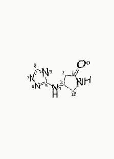 O=C1CC(NC2=NN=C[N]2)CN1